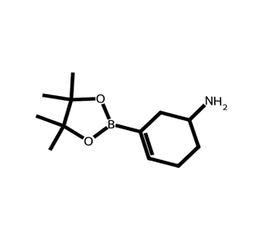 CC1(C)OB(C2=CCCC(N)C2)OC1(C)C